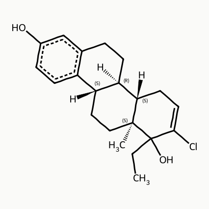 CCC1(O)C(Cl)=CC[C@H]2[C@@H]3CCc4cc(O)ccc4[C@H]3CC[C@@]21C